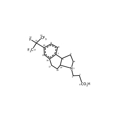 O=C(O)CCN1CCC2c3ccc(C(F)(C(F)(F)F)C(F)(F)F)cc3CCC21